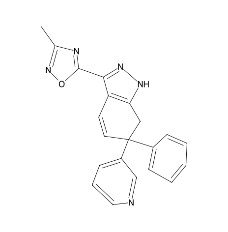 Cc1noc(-c2n[nH]c3c2C=CC(c2ccccc2)(c2cccnc2)C3)n1